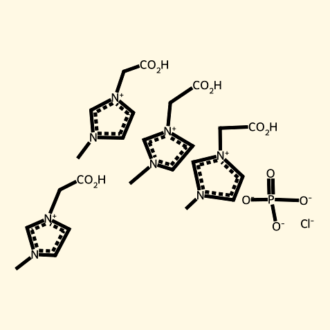 Cn1cc[n+](CC(=O)O)c1.Cn1cc[n+](CC(=O)O)c1.Cn1cc[n+](CC(=O)O)c1.Cn1cc[n+](CC(=O)O)c1.O=P([O-])([O-])[O-].[Cl-]